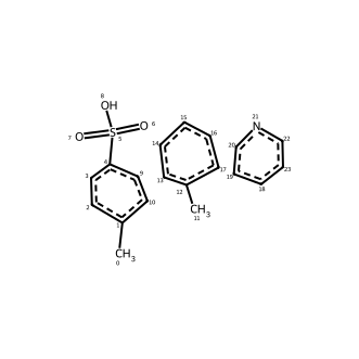 Cc1ccc(S(=O)(=O)O)cc1.Cc1ccccc1.c1ccncc1